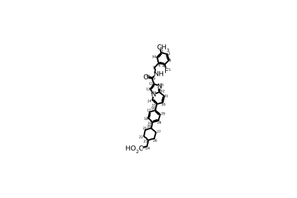 Cc1ccc(F)c(CNC(=O)c2cn3cc(-c4ccc(C5CCC(CC(=O)O)CC5)cc4)ccc3n2)c1